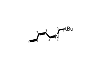 C=C/C=C\C=N/CC(C)(C)C